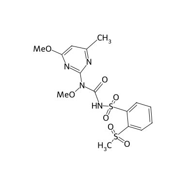 COc1cc(C)nc(N(OC)C(=O)NS(=O)(=O)c2ccccc2S(C)(=O)=O)n1